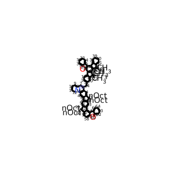 CCCCCCCCC1(CCCCCCCC)c2cc(/C(=C\c3ccccn3)Cc3ccc4c(c3)C(C)(C)c3c5c(c6c(oc7ccccc76)c3-4)-c3ccccc3C5(C)C)ccc2-c2cc3c(cc21)-c1c(ccc2oc4ccccc4c12)C3(CCCCCCCC)CCCCCCCC